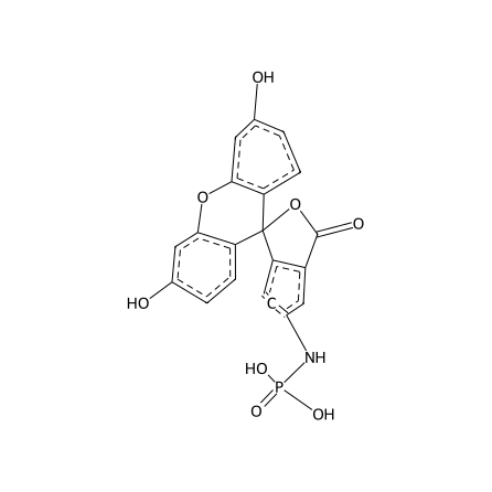 O=C1OC2(c3ccc(O)cc3Oc3cc(O)ccc32)c2ccc(NP(=O)(O)O)cc21